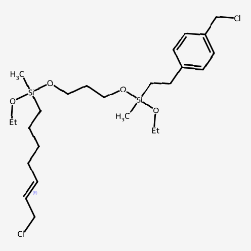 CCO[Si](C)(CCCC/C=C/CCl)OCCCO[Si](C)(CCc1ccc(CCl)cc1)OCC